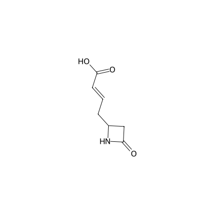 O=C(O)C=CCC1CC(=O)N1